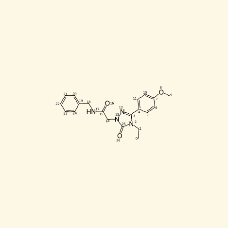 CCn1c(-c2ccc(OC)cc2)nn(CC(=O)NCc2ccccc2)c1=O